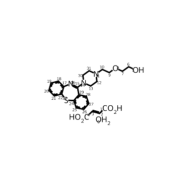 O.O=C(O)/C=C/C(=O)O.OCCOCCN1CCN(C2=Nc3ccccc3Sc3ccccc32)CC1